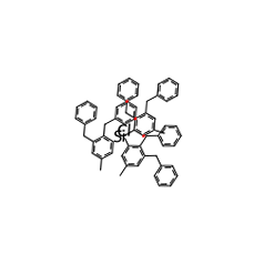 Cc1cc(Cc2ccccc2)c(Cc2ccccc2)c([Si](Cl)(c2cc(C)cc(Cc3ccccc3)c2Cc2ccccc2)c2cc(C)cc(Cc3ccccc3)c2Cc2ccccc2)c1